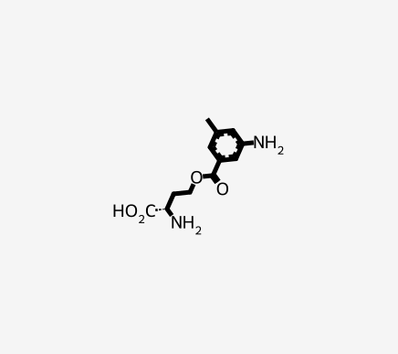 Cc1cc(N)cc(C(=O)OCC[C@H](N)C(=O)O)c1